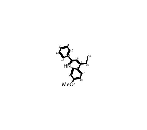 COc1ccc(/C(=C\C(=N)c2ccccc2)CI)cc1